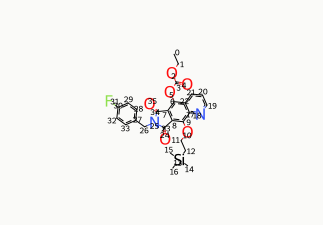 CCOC(=O)Oc1c2c(c(OCC[Si](C)(C)C)c3ncccc13)C(=O)N(Cc1ccc(F)cc1)C2=O